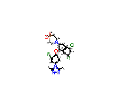 Cc1nnc(C)n1-c1ccc(O[C@H]2c3cc(Cl)cc(Cl)c3C[C@@H]2N2CCS(=O)(=O)CC2)c(F)c1